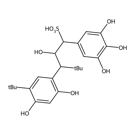 CC(C)(C)c1cc(C(C(O)C(c2cc(O)c(O)c(O)c2)S(=O)(=O)O)C(C)(C)C)c(O)cc1O